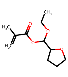 C=C(C)C(=O)OC(OCC)C1CCCO1